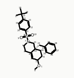 COC1C=C2CCN(S(=O)(=O)c3ccc(C(C)(C)C)cc3)C[C@@]2(Cc2ccccc2)CC1